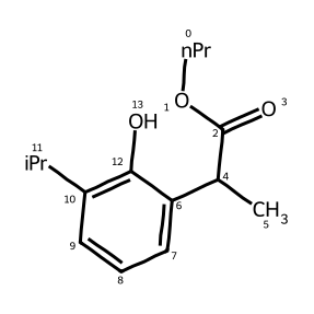 CCCOC(=O)C(C)c1cccc(C(C)C)c1O